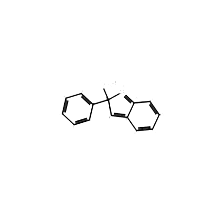 O=S(=O)(O)C1(c2ccccc2)C=c2ccccc2=N1